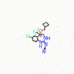 N#C/N=C1/NC[C@@](OCC2CCC2)(C(F)(F)F)c2cc(Cl)ccc2N1